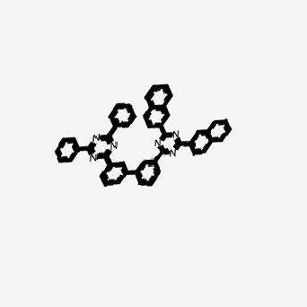 c1ccc(-c2nc(-c3ccccc3)nc(-c3cccc(-c4cccc(-c5nc(-c6ccc7ccccc7c6)nc(-c6ccc7ccccc7c6)n5)c4)c3)n2)cc1